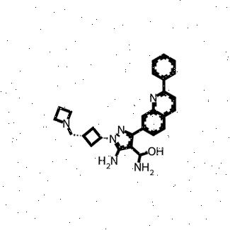 Nc1c(C(N)O)c(-c2ccc3ccc(-c4ccccc4)nc3c2)nn1[C@H]1C[C@@H](CN2CCC2)C1